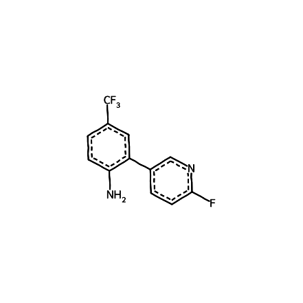 Nc1ccc(C(F)(F)F)cc1-c1ccc(F)nc1